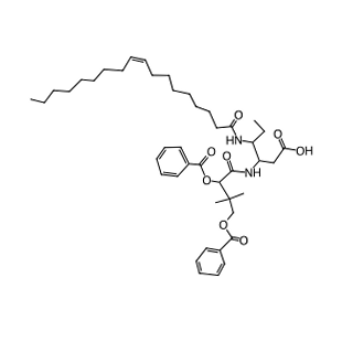 CCCCCCCC/C=C\CCCCCCCC(=O)NC(CC)C(CC(=O)O)NC(=O)C(OC(=O)c1ccccc1)C(C)(C)COC(=O)c1ccccc1